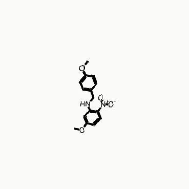 COc1ccc(CNc2cc(OC)ccc2[N+](=O)[O-])cc1